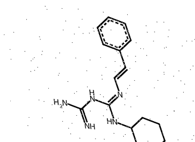 N=C(N)NC(=NC=Cc1ccccc1)NC1CCCCC1